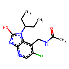 CCC(CC)n1c(O)nc2ncc(Cl)c(CNC(C)=O)c21